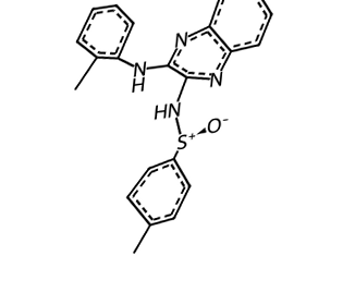 Cc1ccc([S@+]([O-])Nc2nc3ccccc3nc2Nc2ccccc2C)cc1